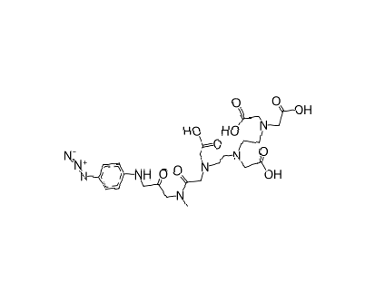 CN(CC(=O)CNc1ccc(N=[N+]=[N-])cc1)C(=O)CN(CCN(CCN(CC(=O)O)CC(=O)O)CC(=O)O)CC(=O)O